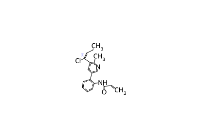 C=CC(=O)Nc1ccccc1-c1cnc(C)c(/C(Cl)=C\CC)c1